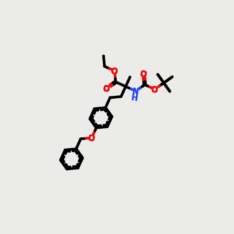 CCOC(=O)C(C)(CCc1ccc(OCc2ccccc2)cc1)NC(=O)OC(C)(C)C